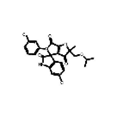 CC(C)OCC1(C)OC2=C(C1=O)C1(C(=O)Nc3cc(Cl)ccc31)N(c1cccc(Cl)c1)C2=O